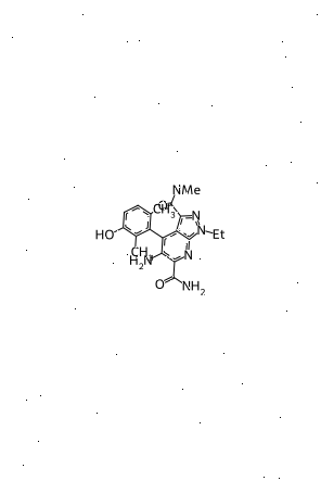 CCn1nc(C(=O)NC)c2c(-c3c(C)ccc(O)c3C)c(N)c(C(N)=O)nc21